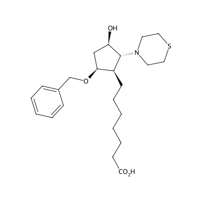 O=C(O)CCCCCC[C@@H]1[C@@H](N2CCSCC2)[C@H](O)C[C@@H]1OCc1ccccc1